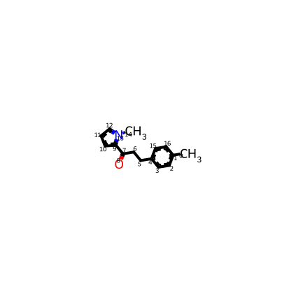 Cc1ccc(CCC(=O)c2cccn2C)cc1